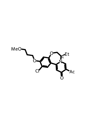 CC[C@@H]1COc2cc(OCCCOC)c(Cl)cc2-c2cc(=O)c(C(C)=O)cn21